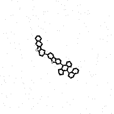 c1ccc2cc3c(cc2c1)oc1ccc(-c2ccc4c(c2)sc2cc(-c5c6ccccc6c(-c6cccc7ccccc67)c6ccccc56)ccc24)cc13